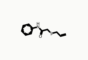 C=CCSCC(=O)Nc1ccccc1